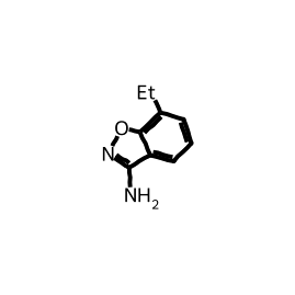 CCc1cccc2c(N)noc12